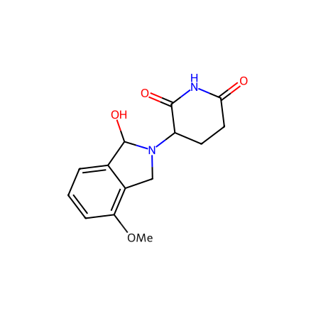 COc1cccc2c1CN(C1CCC(=O)NC1=O)C2O